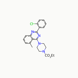 CCOC(=O)N1CCN(c2nc(-c3ccccc3Cl)nc3cccc(C)c23)CC1